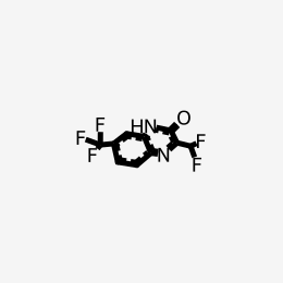 O=c1[nH]c2cc(C(F)(F)F)ccc2nc1C(F)F